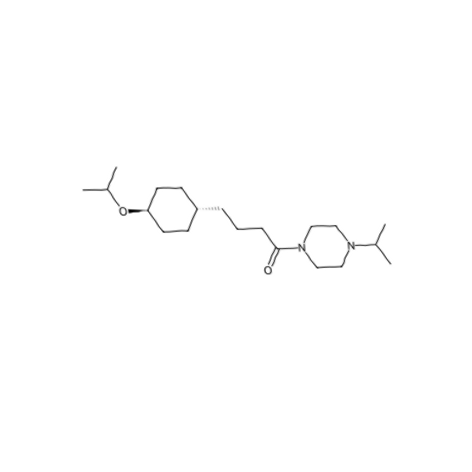 CC(C)O[C@H]1CC[C@H](CCCC(=O)N2CCN(C(C)C)CC2)CC1